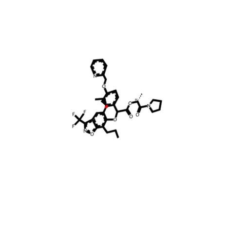 CCCc1cc2c(C(F)(F)F)noc2c(CCC)c1OC(C(=O)O[C@H](C)C(=O)N1CCCC1)c1ccc(OCc2ccccn2)cc1